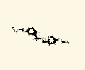 O=C(NCc1ccc(OCC(F)(F)F)cn1)c1cccc(OCC(F)(F)F)c1